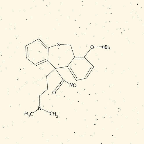 CCCCOc1cccc2c1CSc1ccccc1C2(CCCN(C)C)C(=O)N=O